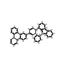 C1=CC2c3ccccc3-c3cc(C4=CCC(c5cccc6c7ccccc7n(-c7ccccc7)c56)C=C4)ccc3C2C=C1